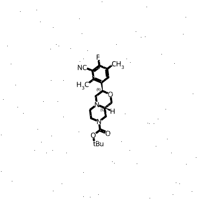 Cc1cc([C@@H]2CN3CCN(C(=O)OC(C)(C)C)C[C@H]3CO2)c(C)c(C#N)c1F